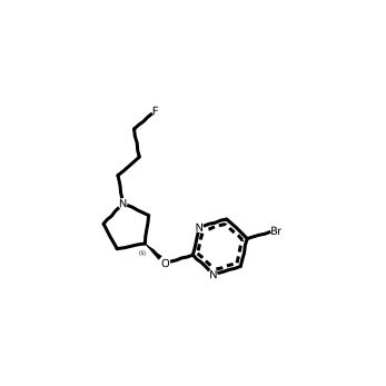 FCCCN1CC[C@H](Oc2ncc(Br)cn2)C1